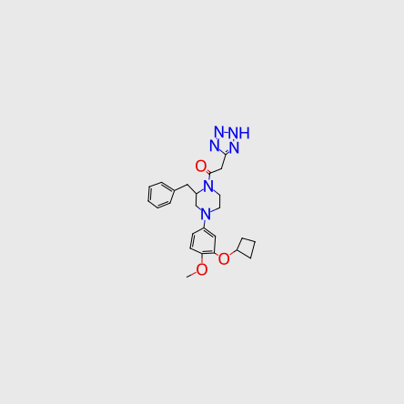 COc1ccc(N2CCN(C(=O)Cc3nn[nH]n3)C(Cc3ccccc3)C2)cc1OC1CCC1